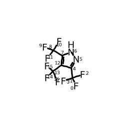 FC(F)(F)c1n[nH]c(C(F)(F)F)c1C(F)(F)F